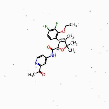 CCOc1c([C@H]2[C@@H](C)C(C)(C)O[C@H]2C(=O)Nc2ccnc(C(C)=O)c2)ccc(F)c1F